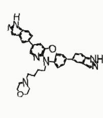 c1cc2c(cc1-c1ccc3[nH]ncc3c1)Oc1cc(-c3ccc4[nH]ncc4c3)cnc1N2CCCCN1CCOCC1